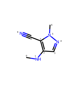 CNc1cnn(C)c1C#N